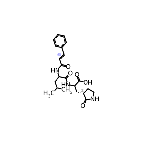 CC(C)CC(NC(=O)/C=C/c1ccccc1)C(=O)NC(C[C@@H]1CCNC1=O)C(=O)O